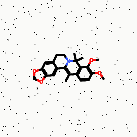 COc1ccc2c(c1OC)C(C)(C)N1CCc3cc4c(cc3C1=C2C)OCO4